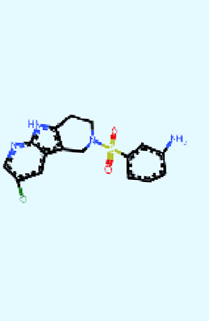 Nc1cccc(S(=O)(=O)N2CCc3[nH]c4ncc(Cl)cc4c3C2)c1